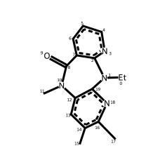 CCN1c2ncccc2C(=O)N(C)c2cc(C)c(C)nc21